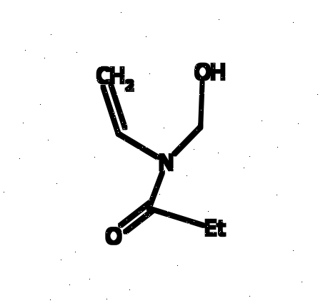 C=CN(CO)C(=O)CC